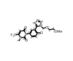 COCCOCn1nnnc1-c1cc(-n2c(=O)cc(C(F)(F)F)n(C)c2=O)ccc1Cl